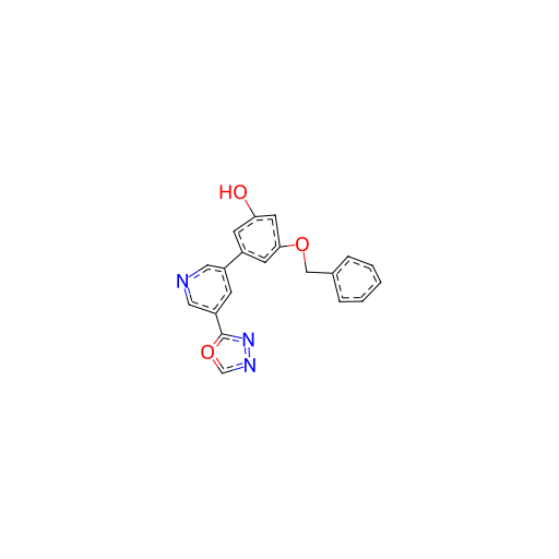 Oc1cc(OCc2ccccc2)cc(-c2cncc(-c3nnco3)c2)c1